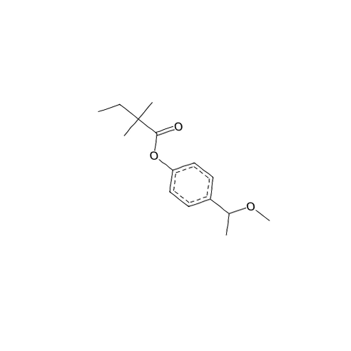 CCC(C)(C)C(=O)Oc1ccc(C(C)OC)cc1